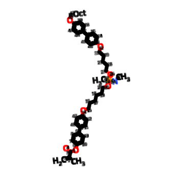 C=C(C)C(=O)Oc1ccc(-c2ccc(OCCCCCCOP(C)(=NC)OCCCCCOc3ccc(-c4ccc(OCCCCCCCC)cc4)cc3)cc2)cc1